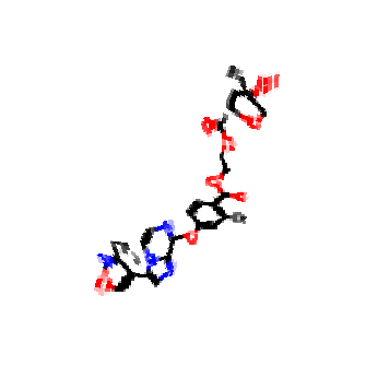 CCc1cc(Oc2nccn3c(-c4conc4C(F)(F)F)cnc23)ccc1C(=O)OCCOC(=O)[C@@H]1C[C@@](O)(CC)CO1